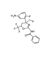 Nc1ccc(F)c(C2(CF)CC(C(F)(F)F)OC(NC(=O)c3ccccc3)=N2)c1